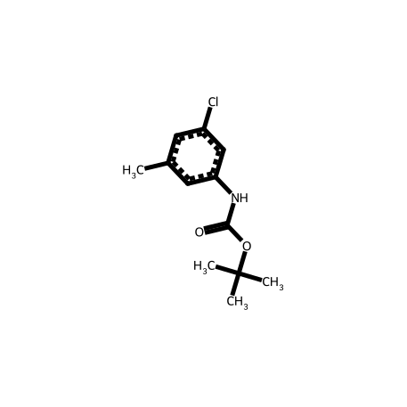 Cc1cc(Cl)cc(NC(=O)OC(C)(C)C)c1